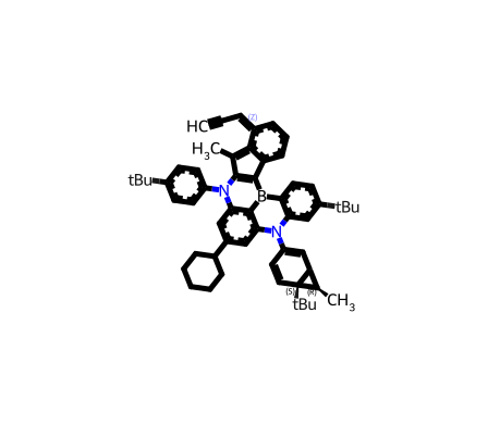 C#C/C=c1/cccc2c1=C(C)C1=C2B2c3ccc(C(C)(C)C)cc3N(C3=CC4[C@@H](C)[C@]4(C(C)(C)C)C=C3)c3cc(C4CCCCC4)cc(c32)N1c1ccc(C(C)(C)C)cc1